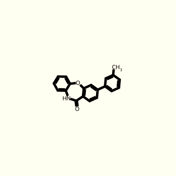 Cc1cccc(-c2ccc3c(c2)Oc2ccccc2NC3=O)c1